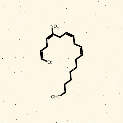 CC/C=C\C/C=C(\C/C=C\C/C=C\CCCCCC[C]=O)[N+](=O)[O-]